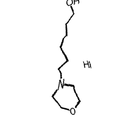 I.OCCCCCCN1CCOCC1